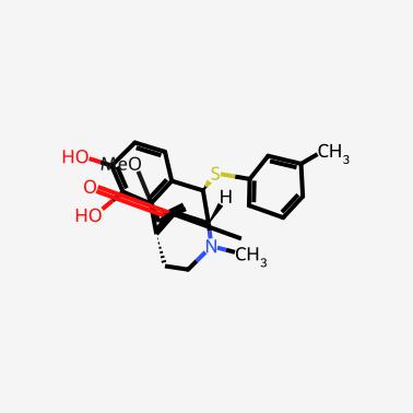 COC1=CC2[C@@H]3[C@H](Sc4cccc(C)c4)c4ccc(O)c(O)c4[C@]2(CCN3C)CC1=O